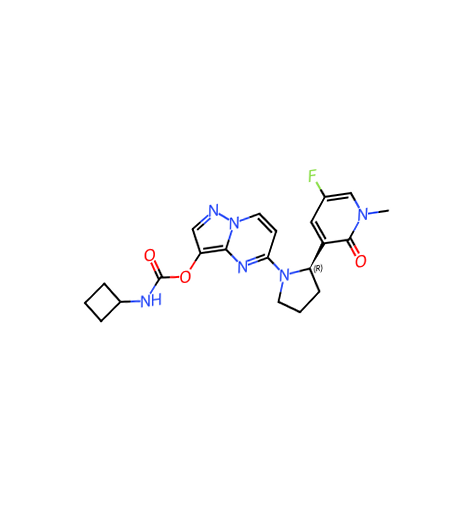 Cn1cc(F)cc([C@H]2CCCN2c2ccn3ncc(OC(=O)NC4CCC4)c3n2)c1=O